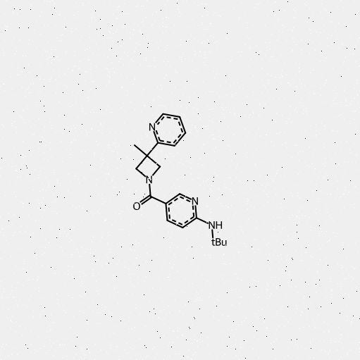 CC(C)(C)Nc1ccc(C(=O)N2CC(C)(c3ccccn3)C2)cn1